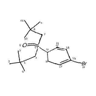 CC(C)(C)CP(=O)(CC(C)(C)C)C1C=CC(Br)=CC1